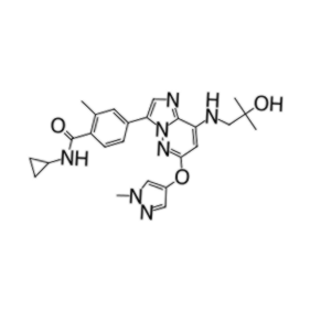 Cc1cc(-c2cnc3c(NCC(C)(C)O)cc(Oc4cnn(C)c4)nn23)ccc1C(=O)NC1CC1